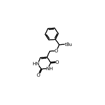 CC(C)(C)C(OCc1c[nH]c(=O)[nH]c1=O)c1ccccc1